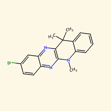 CN1c2ccccc2C(C)(C)c2nc3cc(Br)ccc3nc21